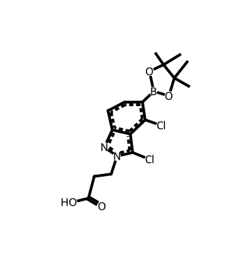 CC1(C)OB(c2ccc3nn(CCC(=O)O)c(Cl)c3c2Cl)OC1(C)C